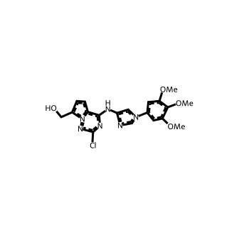 COc1cc(-n2cnc(Nc3nc(Cl)nn4c(CO)ccc34)c2)cc(OC)c1OC